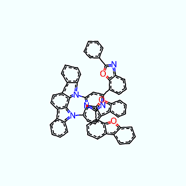 c1ccc(-c2nc3cccc(-c4cc(-n5c6ccccc6c6ccc7c8ccccc8n(-c8ccc9c(c8)oc8ccccc89)c7c65)nc(-c5cccc6c5oc5ccccc56)n4)c3o2)cc1